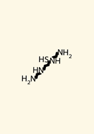 NCCCNCCCC(S)NCCCN